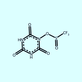 O=c1[nH]c(=O)n(OS(=O)C(F)(F)F)c(=O)[nH]1